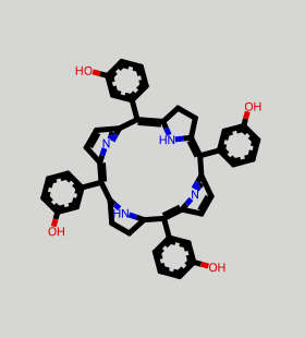 Oc1cccc(C2=C3CCC(=C(c4cccc(O)c4)C4=NC(=C(c5cccc(O)c5)C5CCC(N5)C(c5cccc(O)c5)=C5C=CC2=N5)C=C4)N3)c1